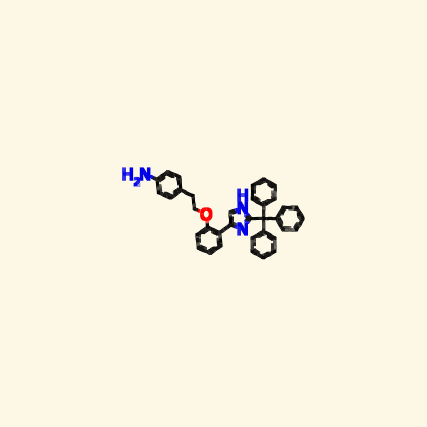 Nc1ccc(CCOc2ccccc2-c2c[nH]c(C(c3ccccc3)(c3ccccc3)c3ccccc3)n2)cc1